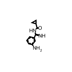 N=C(NC(=O)C1CC1)c1cccc(N)c1